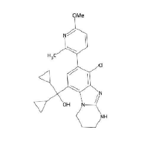 COc1ccc(-c2cc(C(O)(C3CC3)C3CC3)c3c(nc4n3CCCN4)c2Cl)c(C)n1